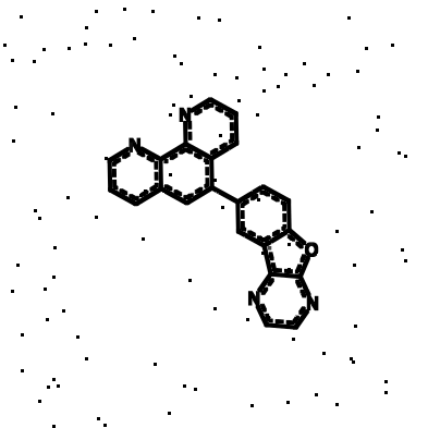 c1cnc2c(c1)cc(-c1ccc3oc4nccnc4c3c1)c1cccnc12